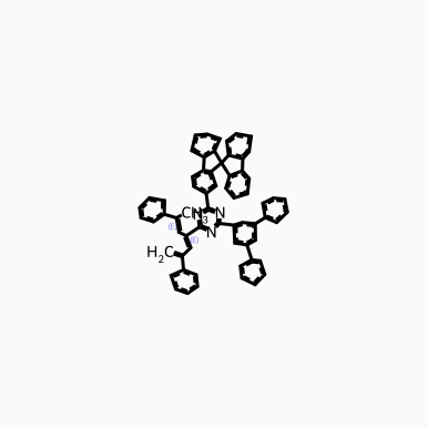 C=C(/C=C(\C=C(/C)c1ccccc1)c1nc(-c2cc(-c3ccccc3)cc(-c3ccccc3)c2)nc(-c2ccc3c(c2)C2(c4ccccc4-c4ccccc42)c2ccccc2-3)n1)c1ccccc1